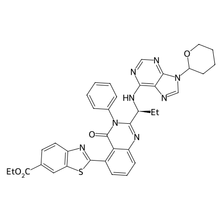 CCOC(=O)c1ccc2nc(-c3cccc4nc([C@H](CC)Nc5ncnc6c5ncn6C5CCCCO5)n(-c5ccccc5)c(=O)c34)sc2c1